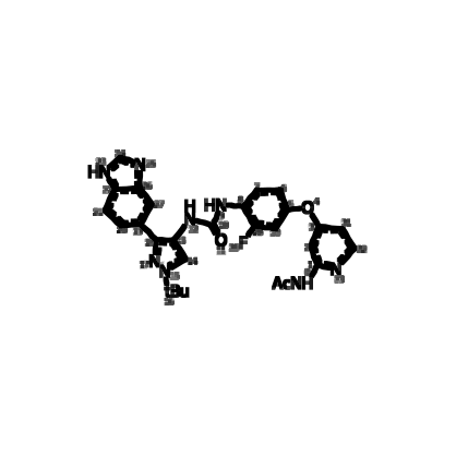 CC(=O)Nc1cc(Oc2ccc(NC(=O)Nc3cn(C(C)(C)C)nc3-c3ccc4[nH]cnc4c3)c(F)c2)ccn1